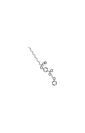 CCCCCCCCCCCC(=C=O)Oc1ccc(C(=O)OCCOc2ccccc2)cc1